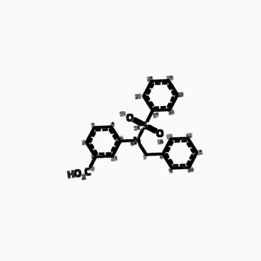 O=C(O)c1cccc(N(Cc2ccccc2)S(=O)(=O)c2ccccc2)c1